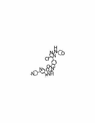 C[C@H](C(=O)N[C@H](C)c1ccnc(C2CCN(C)CC2)c1)N1Cc2ccc(-c3nc(NC4CCOCC4)ncc3Cl)cc2C1=O